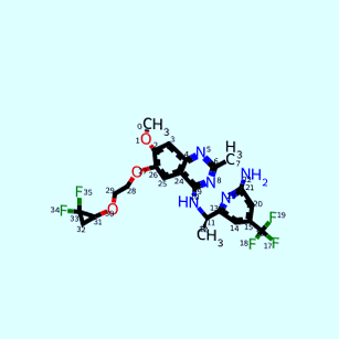 COc1cc2nc(C)nc(N[C@H](C)c3cc(C(F)(F)F)cc(N)n3)c2cc1OCCOC1CC1(F)F